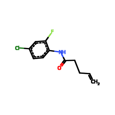 C=CCCC(=O)Nc1ccc(Cl)cc1F